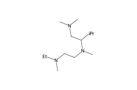 CCN(C)CCN(C)C(CN(C)C)C(C)C